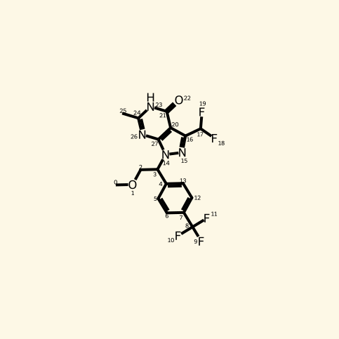 COCC(c1ccc(C(F)(F)F)cc1)n1nc(C(F)F)c2c(=O)[nH]c(C)nc21